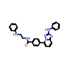 O=C(NCCNc1ccccc1)c1ccc(-c2cccc3nc(Nc4ccccc4)nn23)cc1